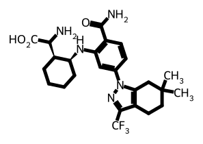 CC1(C)CCc2c(C(F)(F)F)nn(-c3ccc(C(N)=O)c(N[C@H]4CCCC[C@H]4C(N)C(=O)O)c3)c2C1